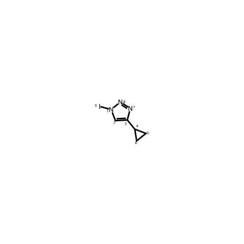 In1cc(C2CC2)nn1